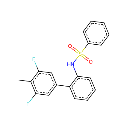 Cc1c(F)cc(-c2ccccc2NS(=O)(=O)c2ccccc2)cc1F